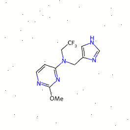 COc1nccc(N(Cc2c[nH]cn2)CC(F)(F)F)n1